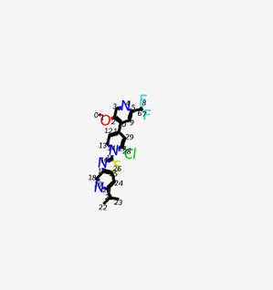 COc1cnc(C(F)F)cc1C1=CCN(c2nc3cnc(C(C)C)cc3s2)C(Cl)=C1